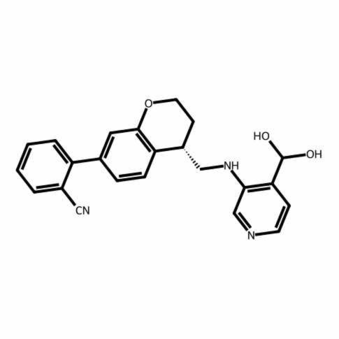 N#Cc1ccccc1-c1ccc2c(c1)OCC[C@@H]2CNc1cnccc1C(O)O